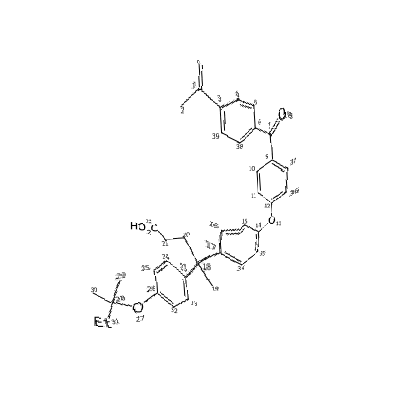 C=C(C)c1ccc(C(=O)c2ccc(Oc3ccc(C(C)(CCC(=O)O)c4ccc(OC(C)(C)CC)cc4)cc3)cc2)cc1